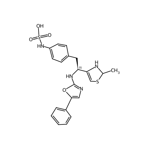 CC1NC([C@H](Cc2ccc(NS(=O)(=O)O)cc2)Nc2ncc(-c3ccccc3)o2)=CS1